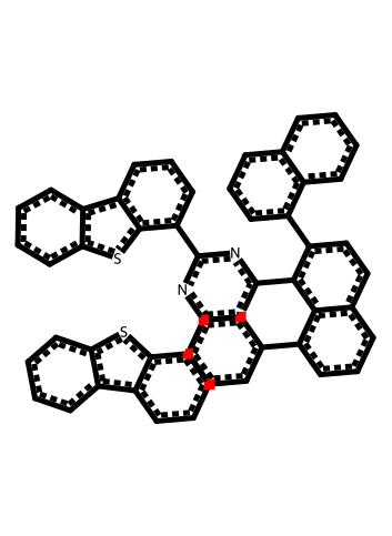 c1ccc(-c2cccc3ccc(-c4cccc5ccccc45)c(-c4nc(-c5cccc6c5sc5ccccc56)nc(-c5cccc6c5sc5ccccc56)n4)c23)cc1